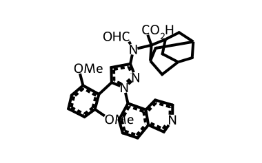 COc1cccc(OC)c1-c1cc(N(C=O)C2(C(=O)O)C3CC4CC(C3)CC2C4)nn1-c1cccc2cnccc12